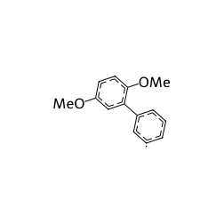 COc1ccc(OC)c(-c2c[c]ccc2)c1